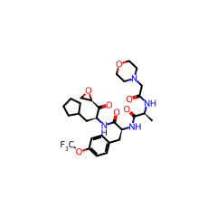 C[C@H](NC(=O)CN1CCOCC1)C(=O)N[C@@H](Cc1ccc(OC(F)(F)F)cc1)C(=O)N[C@@H](CC1CCCC1)C(=O)[C@H]1CO1